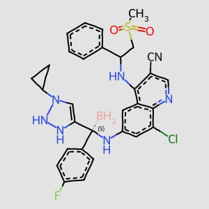 B[C@@](Nc1cc(Cl)c2ncc(C#N)c(NC(CS(C)(=O)=O)c3ccccc3)c2c1)(C1=CN(C2CC2)NN1)c1ccc(F)cc1